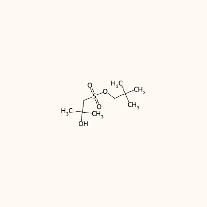 CC(C)(C)COS(=O)(=O)CC(C)(C)O